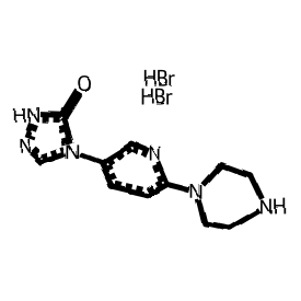 Br.Br.O=c1[nH]ncn1-c1ccc(N2CCNCC2)nc1